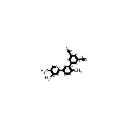 Cc1cnc(-c2ccc(C)c(-c3cc(C#N)cc(C#N)c3)c2)cc1C